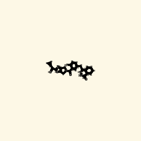 O=C(c1nc2c(o1)CN(C(=O)c1cc(Cc3n[nH]c(=O)c4ccccc34)ccc1F)C2)C1CC1